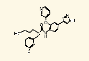 O=C(Nc1ccc(-c2cn[nH]c2)cc1Oc1cccnc1)N(CCCO)Cc1cccc(F)c1